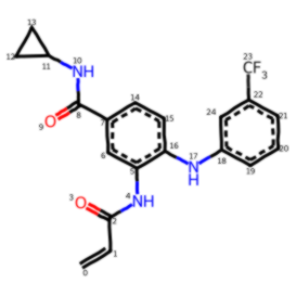 C=CC(=O)Nc1cc(C(=O)NC2CC2)ccc1Nc1cccc(C(F)(F)F)c1